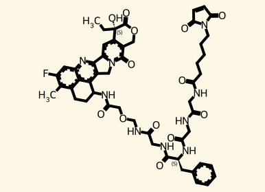 CC[C@@]1(O)C(=O)OCc2c1cc1n(c2=O)Cc2c-1nc1cc(F)c(C)c3c1c2C(NC(=O)COCNC(=O)CNC(=O)[C@H](Cc1ccccc1)NC(=O)CNC(=O)CNC(=O)CCCCCN1C(=O)C=CC1=O)CC3